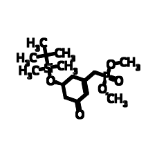 COP(=O)(CC1=CC(=O)C[C@@H](O[Si](C)(C)C(C)(C)C)C1)OC